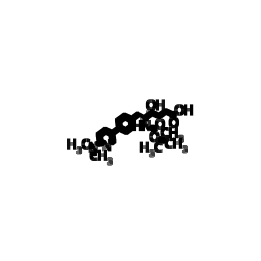 CN(C)c1ccc(-c2ccc(C[C@H](NC(=O)OC(C)(C)C)[C@@H](O)CCC(=O)O)cc2)cn1